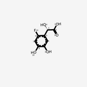 O=C(O)[C@@H](O)c1cc(O)c(O)cc1F